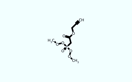 C#CCOC(=O)CP(=O)(OOC)OOC